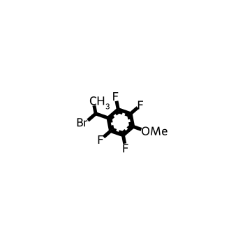 COc1c(F)c(F)c(C(C)Br)c(F)c1F